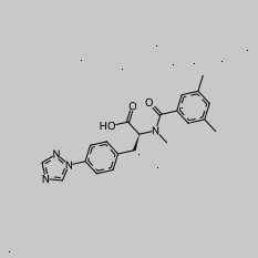 Cc1cc(C)cc(C(=O)N(C)[C@@H](Cc2ccc(-n3cncn3)cc2)C(=O)O)c1